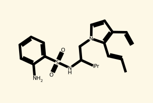 C=Cc1ccn(CC(NS(=O)(=O)c2ccccc2N)C(C)C)c1C=CC